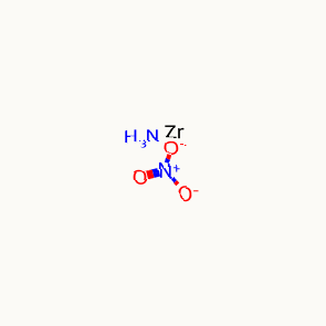 N.O=[N+]([O-])[O-].[Zr]